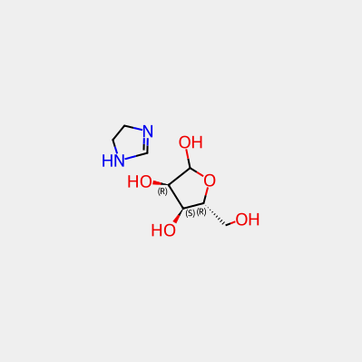 C1=NCCN1.OC[C@H]1OC(O)[C@H](O)[C@@H]1O